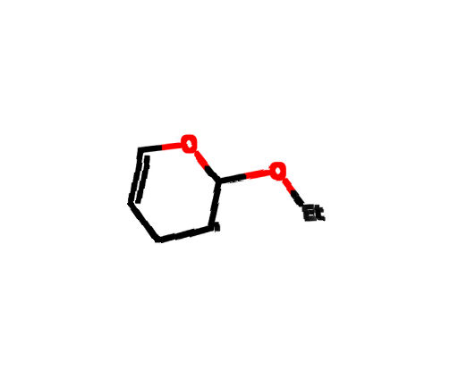 CCOC1[C]CC=CO1